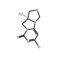 C[C@]12COCN1c1cc(Cl)nc(=O)n1C2